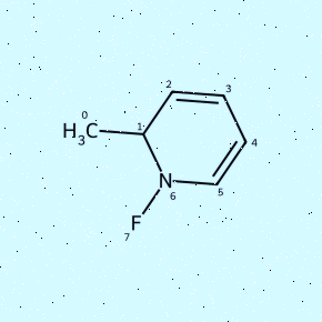 CC1C=CC=CN1F